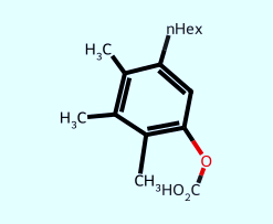 CCCCCCc1cc(OC(=O)O)c(C)c(C)c1C